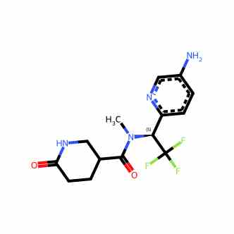 CN(C(=O)C1CCC(=O)NC1)[C@@H](c1ccc(N)cn1)C(F)(F)F